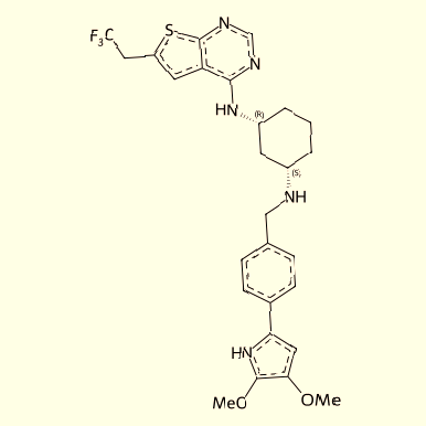 COc1cc(-c2ccc(CN[C@H]3CCC[C@@H](Nc4ncnc5sc(CC(F)(F)F)cc45)C3)cc2)[nH]c1OC